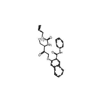 C=CCOC(=O)NC(CC(=O)O)C(=O)COc1cc2ccccc2cc1C(=O)Nc1ccccc1